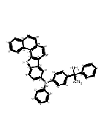 CC(C)(c1ccccc1)c1ccc(N(c2ccccc2)c2ccc3sc4c(ccc5ccc6ccccc6c54)c3c2)cc1